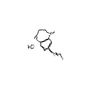 Cl.Nc1ccc2c(c1)NCCO2